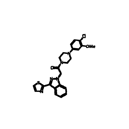 COc1cc(N2CCN(C(=O)Cn3nc(-c4nccs4)c4ccccc43)CC2)ccc1Cl